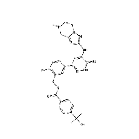 CN1CCn2nc(Nc3cc(-c4ccc(F)c(CNC(=O)c5ccc(C(C)(C)O)cc5)c4)n[nH]c3=O)cc2C1